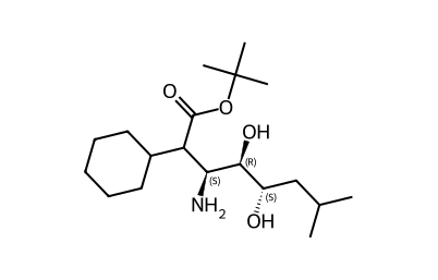 CC(C)C[C@H](O)[C@H](O)[C@@H](N)C(C(=O)OC(C)(C)C)C1CCCCC1